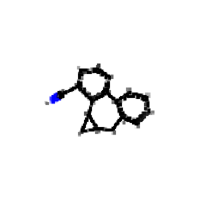 N#Cc1cccc2c1C1CC1Cc1ccccc1-2